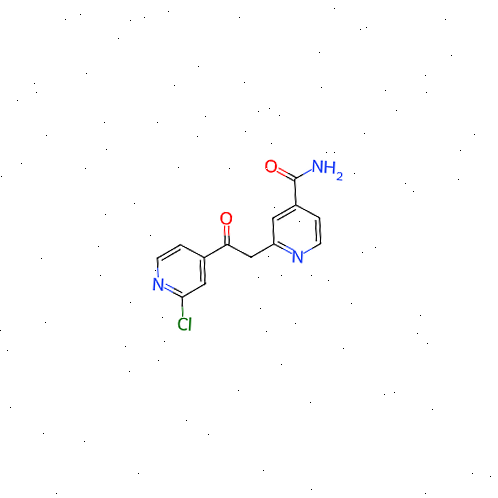 NC(=O)c1ccnc(CC(=O)c2ccnc(Cl)c2)c1